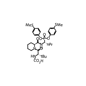 CCC[C@H](NC(=O)[C@@H]1CCCCN1C(=O)[C@@H](NC(=O)O)C(C)(C)C)P(=O)(Oc1ccc(SC)cc1)Oc1ccc(SC)cc1